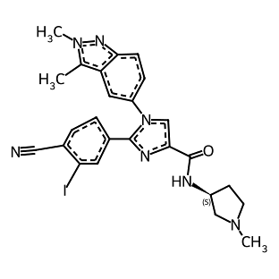 Cc1c2cc(-n3cc(C(=O)N[C@H]4CCN(C)C4)nc3-c3ccc(C#N)c(I)c3)ccc2nn1C